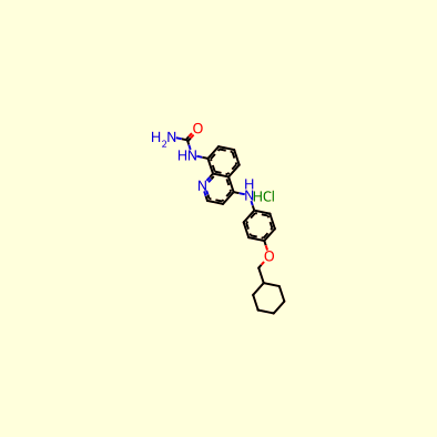 Cl.NC(=O)Nc1cccc2c(Nc3ccc(OCC4CCCCC4)cc3)ccnc12